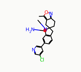 Cc1onc2c1CC1(CC2)Cc2ccc(-c3cncc(Cl)c3)cc2C12N=C(N)N(C)O2